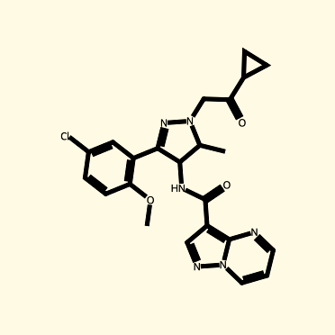 COc1ccc(Cl)cc1C1=NN(CC(=O)C2CC2)C(C)C1NC(=O)c1cnn2cccnc12